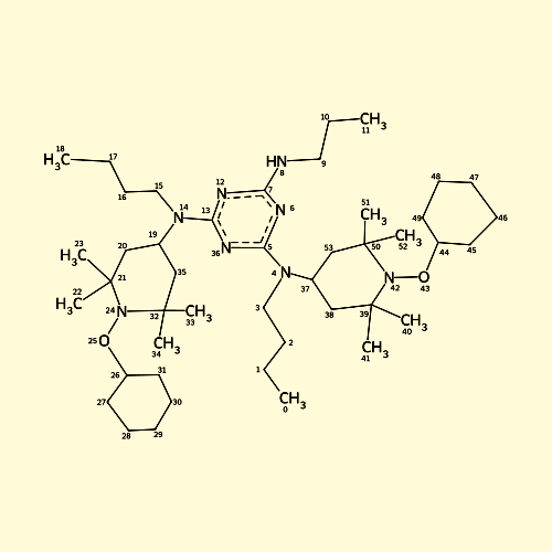 CCCCN(c1nc(NCCC)nc(N(CCCC)C2CC(C)(C)N(OC3CCCCC3)C(C)(C)C2)n1)C1CC(C)(C)N(OC2CCCCC2)C(C)(C)C1